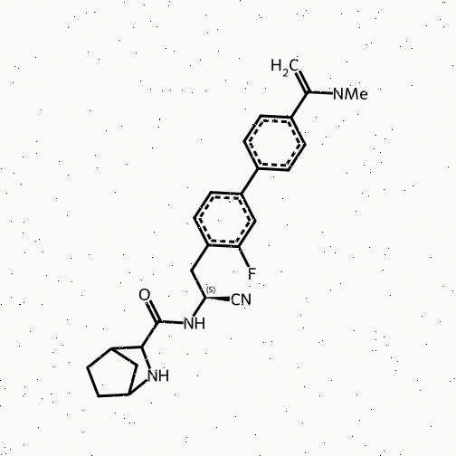 C=C(NC)c1ccc(-c2ccc(C[C@@H](C#N)NC(=O)C3NC4CCC3C4)c(F)c2)cc1